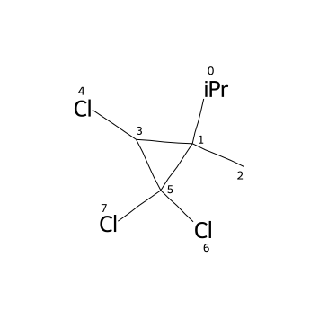 CC(C)C1(C)C(Cl)C1(Cl)Cl